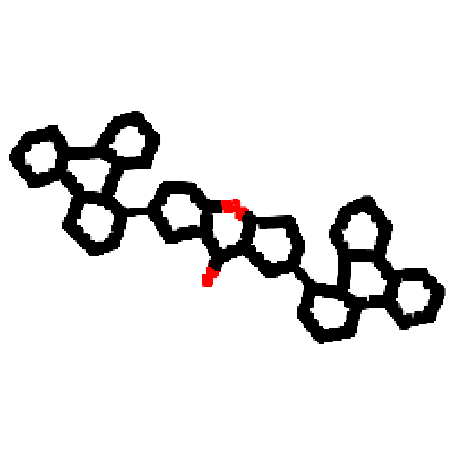 O=c1c2cc(-c3cccc4c5ccccc5c5ccccc5c34)ccc2oc2ccc(-c3cccc4c5ccccc5c5ccccc5c34)cc12